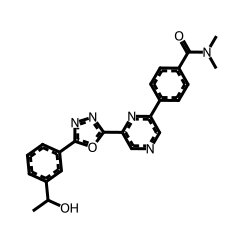 CC(O)c1cccc(-c2nnc(-c3cncc(-c4ccc(C(=O)N(C)C)cc4)n3)o2)c1